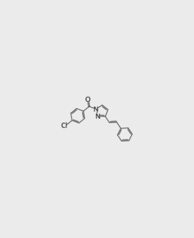 O=C(c1ccc(Cl)cc1)n1ccc(/C=C/c2ccccc2)n1